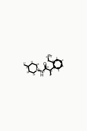 CC(C)Cc1ccccc1C(C)C(=O)NN1CCC(C)CC1